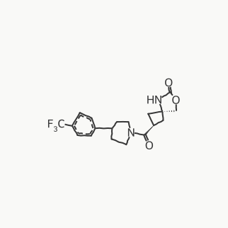 O=C1N[C@]2(CO1)C[C@H](C(=O)N1CCC(c3ccc(C(F)(F)F)cc3)CC1)C2